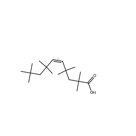 CC(C)(C)CC(C)(C)/C=C\C(C)(C)CC(C)(C)C(=O)O